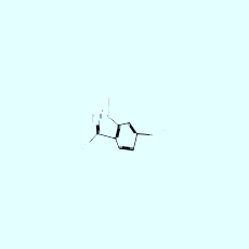 FC(F)(F)c1ccc2c(Br)n[nH]c2c1